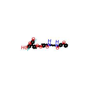 Cc1cc(CC(=O)NCCCCCNC(=O)c2ccc(C(=O)c3ccccc3)cc2)ccc1OCCOc1cc(-c2c3cc(F)c(=O)cc-3oc3cc(O)c(F)cc23)ccc1C